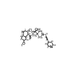 COc1ccc2ncc(Cl)c([C@H](F)CCC3(C(=O)O)CCN(CC#Cc4ccncc4)CC3)c2c1